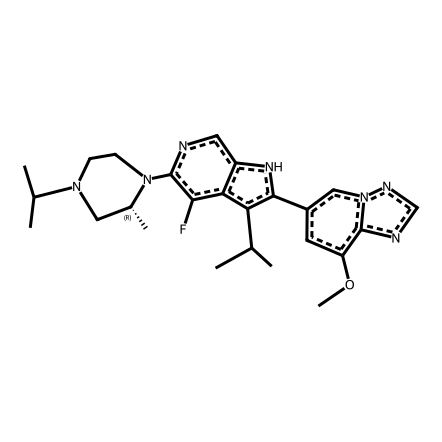 COc1cc(-c2[nH]c3cnc(N4CCN(C(C)C)C[C@H]4C)c(F)c3c2C(C)C)cn2ncnc12